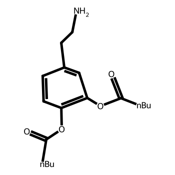 CCCCC(=O)Oc1ccc(CCN)cc1OC(=O)CCCC